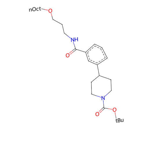 CCCCCCCCOCCCNC(=O)c1cccc(C2CCN(C(=O)OC(C)(C)C)CC2)c1